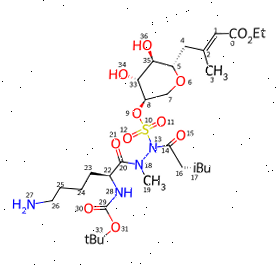 CCOC(=O)/C=C(\C)C[C@@H]1OC[C@@H](OS(=O)(=O)N(C(=O)C[C@@H](C)CC)N(C)C(=O)[C@H](CCCCN)NC(=O)OC(C)(C)C)[C@H](O)[C@H]1O